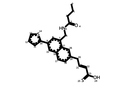 CCCC(=O)NCc1cc(-c2cccs2)cc2ccc(CC=CC(O)=S)cc12